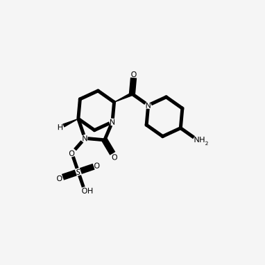 NC1CCN(C(=O)[C@@H]2CC[C@@H]3CN2C(=O)N3OS(=O)(=O)O)CC1